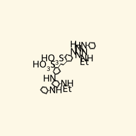 CCNc1cc(Nc2ccccc2)cc(Nc2ccc(C=Cc3ccc(Nc4nc(NCC)nc(Nc5ccccc5)n4)cc3S(=O)(=O)O)c(S(=O)(=O)O)c2)c1